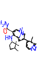 Cc1cnccc1-c1cc2c(N[C@@H]3CCC(C)C3(C)C)c(C(N)=O)cnn2c1